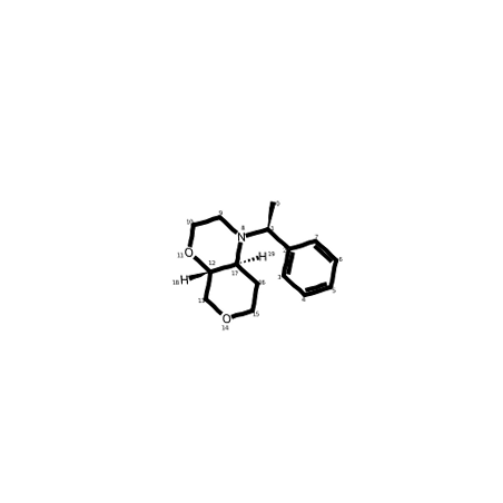 C[C@@H](c1ccccc1)N1CCO[C@H]2COCC[C@@H]21